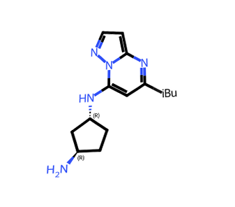 CCC(C)c1cc(N[C@@H]2CC[C@@H](N)C2)n2nccc2n1